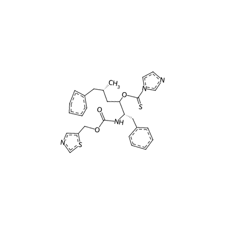 C[C@@H](Cc1ccccc1)CC(OC(=S)n1ccnc1)[C@H](Cc1ccccc1)NC(=O)OCc1cncs1